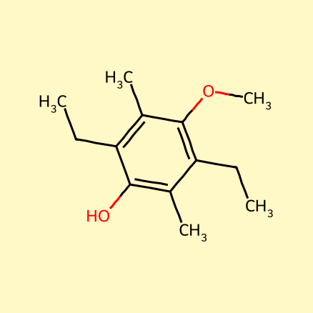 CCc1c(C)c(OC)c(CC)c(C)c1O